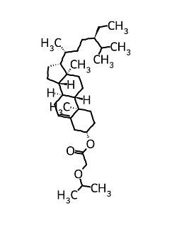 CC[C@H](CC[C@@H](C)[C@H]1CC[C@H]2[C@@H]3CC=C4C[C@@H](OC(=O)COC(C)C)CC[C@]4(C)[C@H]3CC[C@]12C)C(C)C